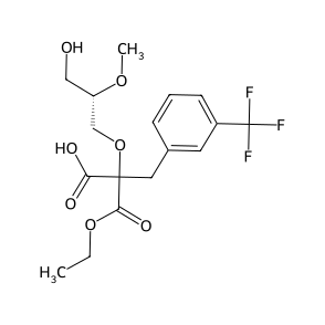 CCOC(=O)C(Cc1cccc(C(F)(F)F)c1)(OC[C@H](CO)OC)C(=O)O